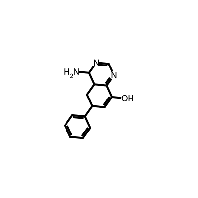 NC1N=CN=C2C(O)=CC(c3ccccc3)CC21